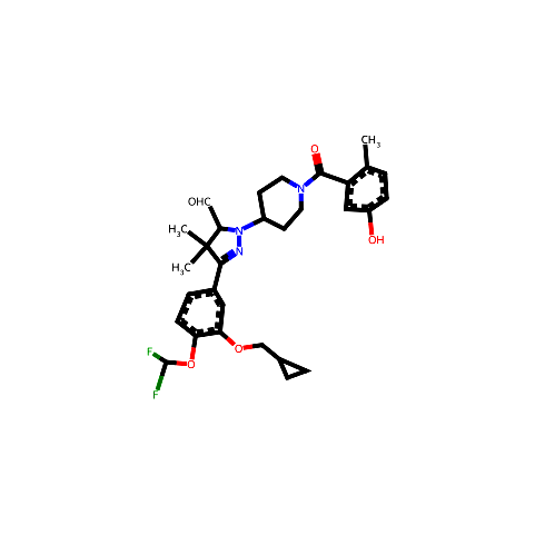 Cc1ccc(O)cc1C(=O)N1CCC(N2N=C(c3ccc(OC(F)F)c(OCC4CC4)c3)C(C)(C)C2C=O)CC1